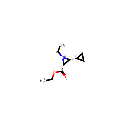 CCOC(=O)[C@H]1[C@@H](C2CC2)N1CC